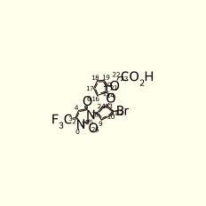 Cn1c(C(F)(F)F)cc(=O)n(-c2ccc(Br)c(Oc3ccccc3OCC(=O)O)c2)c1=O